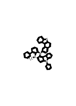 CSc1c(-c2ccccc2)cccc1N(c1ccc2ccc3sc4ccccc4c3c2c1)c1cccc2c1c1ccccc1n2-c1ccccc1